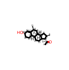 CC(=O)[C@H]1[C@H](C)C[C@H]2[C@@H]3C[C@H](C)C4=C[C@@H](O)CC[C@]4(C)[C@H]3CC[C@@]21C